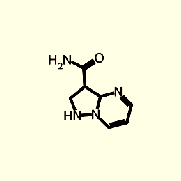 NC(=O)C1CNN2C=CC=NC12